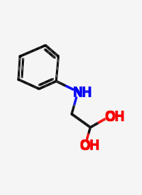 OC(O)CNc1ccccc1